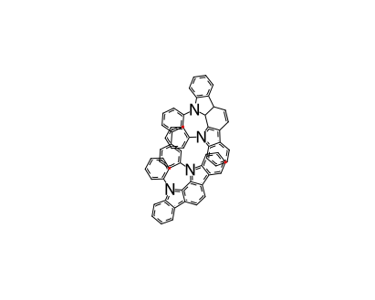 C1=CC2c3ccccc3N(c3cccc(-c4cccc(-n5c6ccccc6c6ccc7c8ccccc8n(-c8ccccc8)c7c65)c4)c3)C2c2c1c1ccccc1n2-c1ccccc1